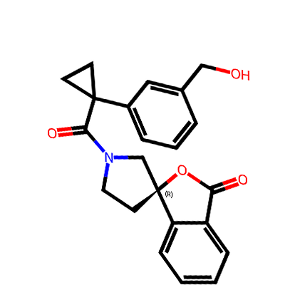 O=C1O[C@]2(CCN(C(=O)C3(c4cccc(CO)c4)CC3)C2)c2ccccc21